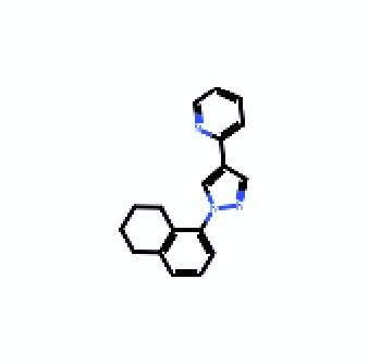 c1ccc(-c2cnn(-c3cccc4c3CCCC4)c2)nc1